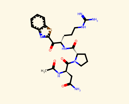 CC(=O)N[C@H](CC(N)=O)C(=O)N1CCC[C@H]1C(=O)N[C@@H](CCCNC(=N)N)C(=O)c1nc2ccccc2s1